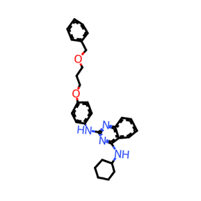 c1ccc(COCCCOc2ccc(Nc3nc(NC4CCCCC4)c4ccccc4n3)cc2)cc1